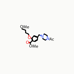 COCCCCOc1cc(CN2CCN(C(C)=O)CC2)ccc1C(=O)OC